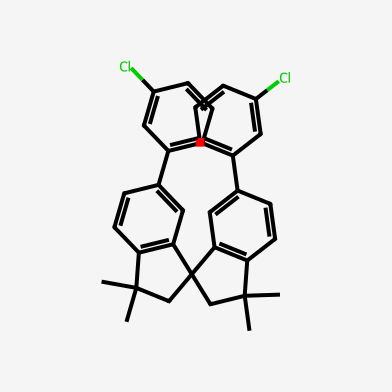 CC1(C)CC2(CC(C)(C)c3ccc(-c4cccc(Cl)c4)cc32)c2cc(-c3cccc(Cl)c3)ccc21